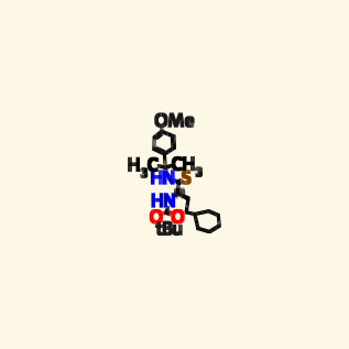 COc1ccc(C(C)(C)NC(=S)[C@@H](CCC2CCCCC2)NC(=O)OC(C)(C)C)cc1